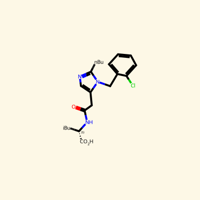 CCCCc1ncc(CC(=O)N[C@H](C(=O)O)C(C)CC)n1Cc1ccccc1Cl